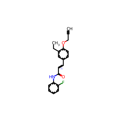 C#CCOc1ccc(/C=C/C(=O)Nc2ccccc2F)cc1CC